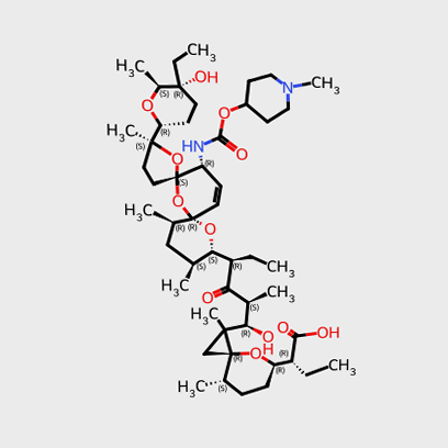 CC[C@@H](C(=O)[C@@H](C)[C@@H](O)C1(C)C[C@]12O[C@@H]([C@@H](CC)C(=O)O)CC[C@@H]2C)[C@H]1O[C@]2(C=C[C@@H](NC(=O)OC3CCN(C)CC3)[C@]3(CC[C@@](C)([C@H]4CC[C@](O)(CC)[C@H](C)O4)O3)O2)[C@H](C)C[C@@H]1C